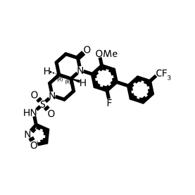 COc1cc(-c2cccc(C(F)(F)F)c2)c(F)cc1N1C(=O)CC[C@@H]2CN(S(=O)(=O)Nc3ccon3)CC[C@H]21